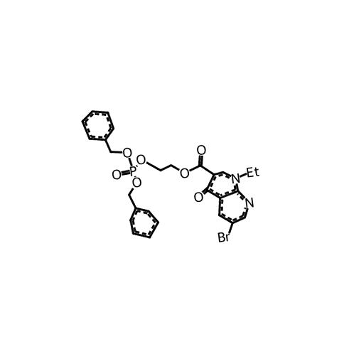 CCn1cc(C(=O)OCCOP(=O)(OCc2ccccc2)OCc2ccccc2)c(=O)c2cc(Br)cnc21